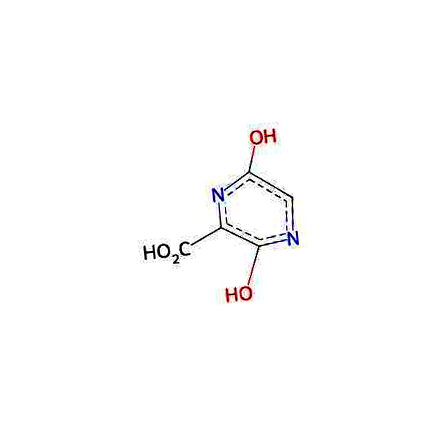 O=C(O)c1nc(O)cnc1O